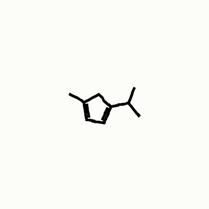 CC1=CC=C(C(C)C)C1